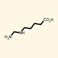 NCNCCCCC(=O)O